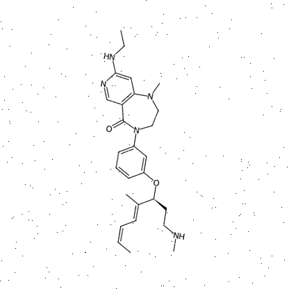 C/C=C\C=C(/C)[C@H](CCNC)Oc1cccc(N2CCN(C)c3cc(NCC)ncc3C2=O)c1